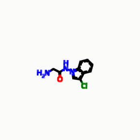 NCC(=O)Nn1cc(Cl)c2ccccc21